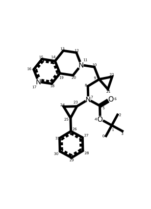 CC(C)(C)OC(=O)N(CC1(CN2CCc3ccncc3C2)CC1)C1CC1c1ccccc1